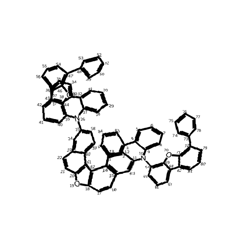 c1ccc(-c2ccccc2N(c2ccc3c(ccc4oc5ccc6cc(N(c7ccccc7-c7ccccc7)c7cccc8c7oc7c(-c9ccccc9)cccc78)ccc6c5c43)c2)c2cccc3c2oc2c(-c4ccccc4)cccc23)cc1